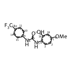 COc1ccc(NC(=O)Nc2ccc(C(F)(F)F)cc2)c(O)c1